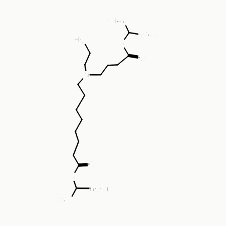 CCCCCCCCC(CCCCCCCC)OC(=O)CCCCCCCN(CCO)CCCC(=O)OC(CCCCCC)CCCCCCCC